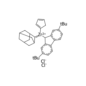 CC(C)(C)c1ccc2c(c1)[CH]([Zr+2]([C]1=CC=CC1)=[C]1C3CC4CC(C3)CC1C4)c1cc(C(C)(C)C)ccc1-2.[Cl-].[Cl-]